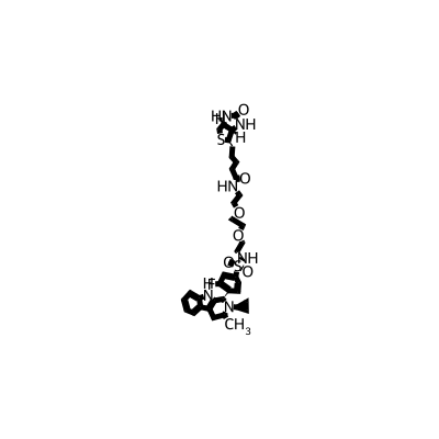 CC1Cc2c([nH]c3ccccc23)[C@H](c2ccc(S(=O)(=O)NCCOCCOCCNC(=O)CCCC[C@@H]3SC[C@@H]4NC(=O)N[C@@H]43)cc2F)N1C1CC1